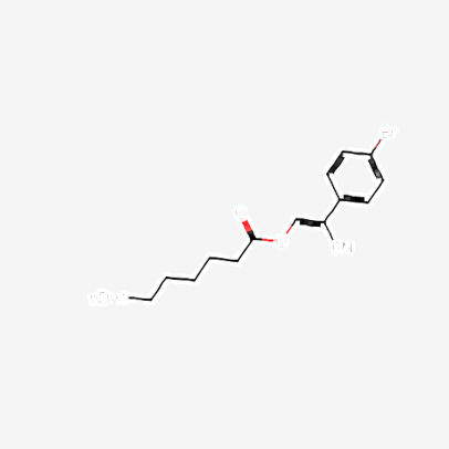 CCCCCCCCCCCCCCCC(=O)O/C=C(\C#N)c1ccc(Br)cc1